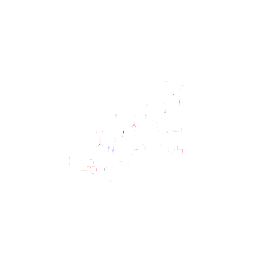 COc1ccc(C(F)(F)F)cc1C(O)(CO)CO[C@H]1[C@H](C(C)(C)C)[C@@H](C(=O)O)N(C(=O)[C@@H]2CCCCO2)[C@H]1c1ccccc1C